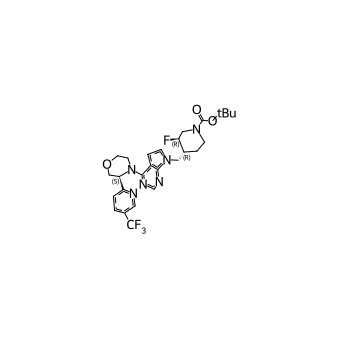 CC(C)(C)OC(=O)N1CC[C@H](Cn2ccc3c(N4CCOC[C@@H]4c4ccc(C(F)(F)F)cn4)ncnc32)[C@@H](F)C1